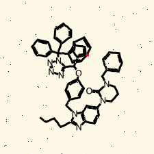 CCCCc1nc2ccc(N3CCCN(Cc4ccccc4)C3=O)cc2n1Cc1ccc(OC(c2ccccc2)c2nnnn2C(c2ccccc2)(c2ccccc2)c2ccccc2)cc1